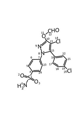 NS(=O)(=O)c1ccc(-n2nc(OC=O)c(Cl)c2-c2ccc(Cl)cc2)cc1